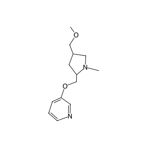 COCC1CC(COc2cccnc2)N(C)C1